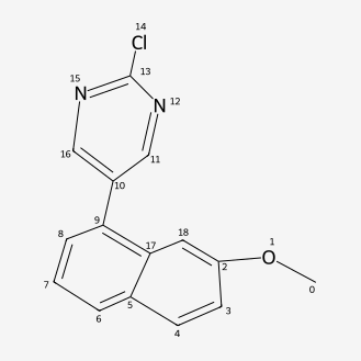 COc1ccc2cccc(-c3cnc(Cl)nc3)c2c1